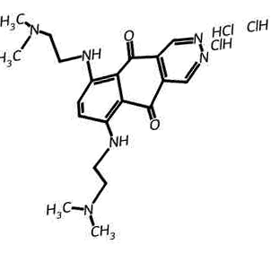 CN(C)CCNc1ccc(NCCN(C)C)c2c1C(=O)c1cnncc1C2=O.Cl.Cl.Cl